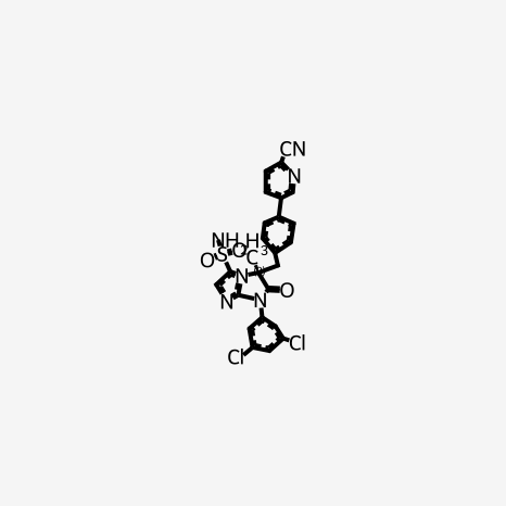 C[C@@]1(Cc2ccc(-c3ccc(C#N)nc3)cc2)C(=O)N(c2cc(Cl)cc(Cl)c2)c2ncc(S(N)(=O)=O)n21